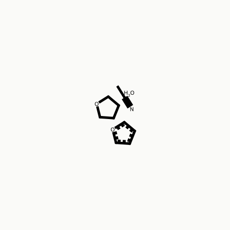 C1CCOC1.CC#N.O.c1ccoc1